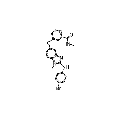 CNC(=O)c1cc(Oc2ccc3c(c2)nc(Nc2ccc(Br)cc2)n3C)ccn1